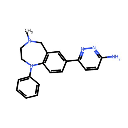 CN1CCN(c2ccccc2)c2ccc(-c3ccc(N)nn3)cc2C1